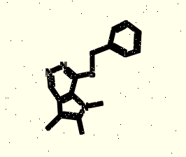 Cc1c(C)n(C)c2c(SCc3ccccc3)nncc12